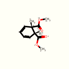 COC(=O)[C@]1(C)C=CC=C[C@]1(C)C(=O)OC